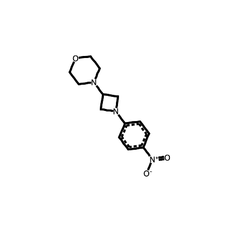 O=[N+]([O-])c1ccc(N2CC(N3CCOCC3)C2)cc1